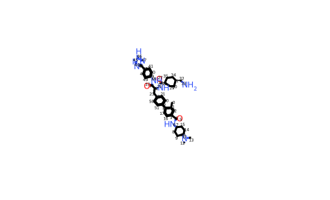 Cc1cc(C(=O)NC2CCC(N(C)C)CC2)ccc1-c1ccc(CC(NC(=O)[C@H]2CC[C@H](CN)CC2)C(=O)Nc2ccc(-c3nn[nH]n3)cc2)cc1